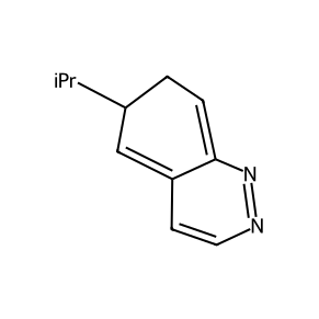 CC(C)C1C=c2ccnnc2=CC1